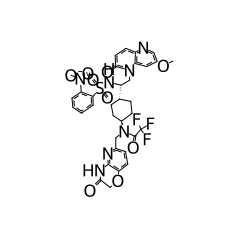 COc1cnc2ccc(=O)n(CC(NS(=O)(=O)c3ccccc3[N+](=O)[O-])[C@H]3CC[C@H](N(Cc4ccc5c(n4)NC(=O)CO5)C(=O)C(F)(F)F)CC3)c2c1